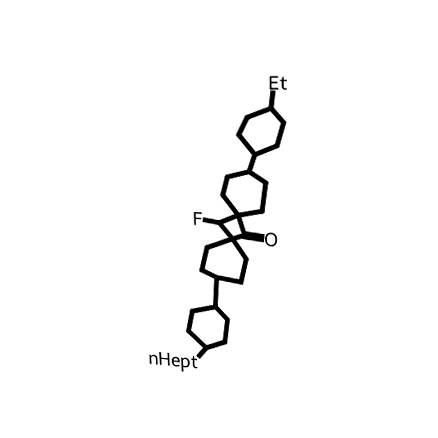 CCCCCCCC1CCC(C2CCC3(CC2)C(=O)C2(CCC(C4CCC(CC)CC4)CC2)C3F)CC1